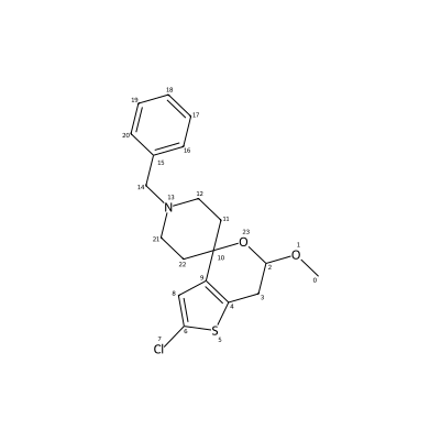 COC1Cc2sc(Cl)cc2C2(CCN(Cc3ccccc3)CC2)O1